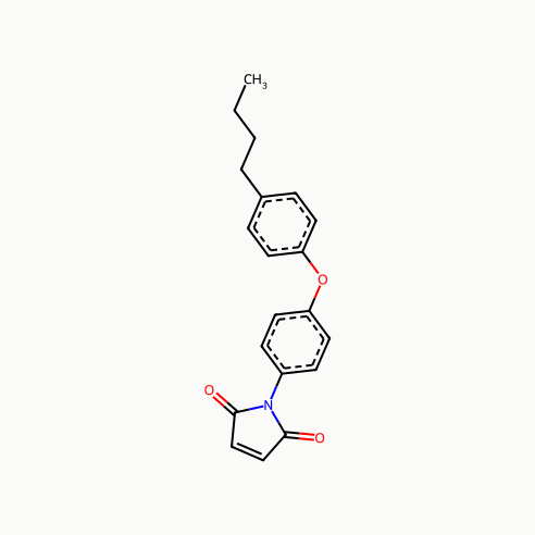 CCCCc1ccc(Oc2ccc(N3C(=O)C=CC3=O)cc2)cc1